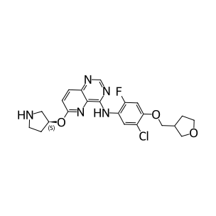 Fc1cc(OCC2CCOC2)c(Cl)cc1Nc1ncnc2ccc(O[C@H]3CCNC3)nc12